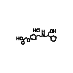 Cl.O=C(O)COc1ccc(CCNCC(CO)c2ccccc2)cc1